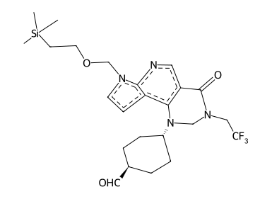 C[Si](C)(C)CCOCn1ccc2c3c(cnc21)C(=O)N(CC(F)(F)F)CN3[C@H]1CC[C@H](C=O)CC1